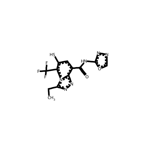 CCc1nnc2c(C(=O)Nc3nnco3)cc(S)c(C(F)(F)F)n12